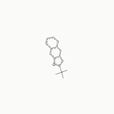 CC(C)(C)c1cc2cc3ccccc3cc2o1